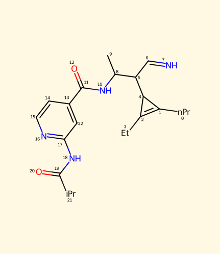 CCCC1=C(CC)C1C(C=N)C(C)NC(=O)c1ccnc(NC(=O)C(C)C)c1